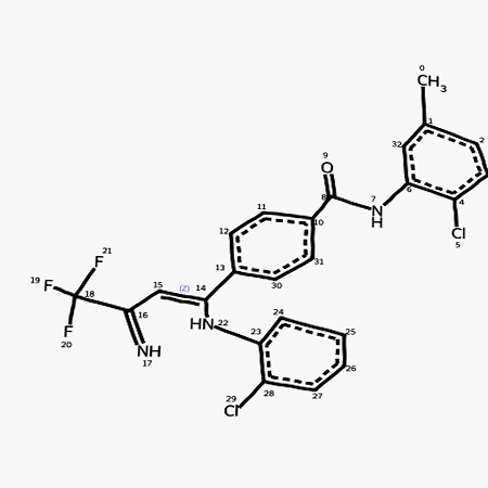 Cc1ccc(Cl)c(NC(=O)c2ccc(/C(=C/C(=N)C(F)(F)F)Nc3ccccc3Cl)cc2)c1